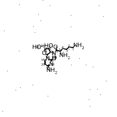 NCCCC[C@H](N)C(=O)N[C@@H]1[C@H](O)[C@@H](CO)O[C@H]1n1ccc(N)nc1=O